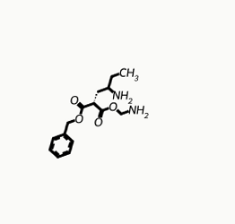 CCC(N)C[C@H](C(=O)OCN)C(=O)OCc1ccccc1